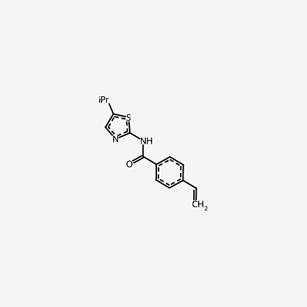 C=Cc1ccc(C(=O)Nc2ncc(C(C)C)s2)cc1